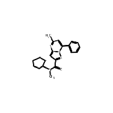 Cc1cc(-c2ccccc2)n2nc(C(=O)N(C)C3CCCCC3)cc2n1